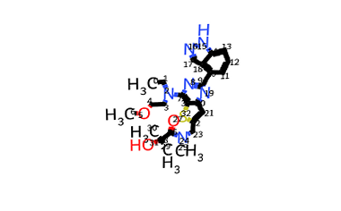 CCN(CCOC)c1nc(-c2cccc3[nH]ncc23)nc2cc(CN(C)C(=O)C(C)(C)O)sc12